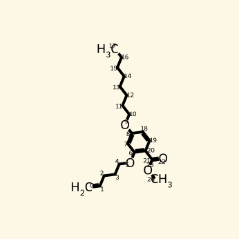 C=CCCCOc1cc(OCCCCCCCC)ccc1C(=O)OC